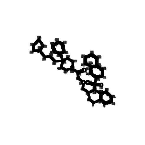 O=C(COCC1CCc2ccccc2N1S(=O)(=O)c1ccc2ccccc2c1)N1CCC(CCCN2CCCC2)(c2cccnc2)CC1